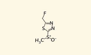 C[S+]([O-])c1nnc(CF)s1